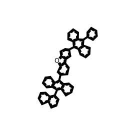 c1ccc(-c2c3ccccc3c(-c3ccc4oc5cc(-c6c7ccccc7c(-c7cccc8ccccc78)c7ccccc67)ccc5c4c3)c3ccccc23)cc1